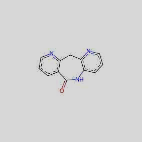 O=C1Nc2cccnc2Cc2ncccc21